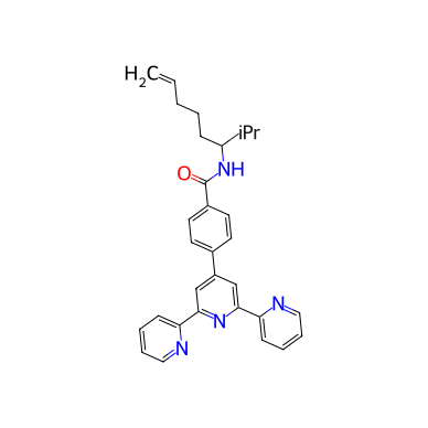 C=CCCCC(NC(=O)c1ccc(-c2cc(-c3ccccn3)nc(-c3ccccn3)c2)cc1)C(C)C